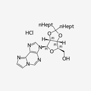 CCCCCCCC1(CCCCCCC)O[C@@H]2[C@H](O1)[C@@H](CO)O[C@H]2n1cnc2c1ncn1ccnc21.Cl